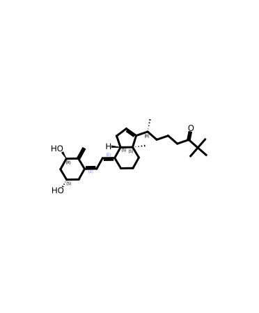 C=C1/C(=C\C=C2/CCC[C@]3(C)C([C@H](C)CCCC(=O)C(C)(C)C)=CC[C@@H]23)C[C@H](O)C[C@H]1O